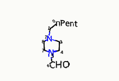 CCCCCCN1CCN(C=O)CC1